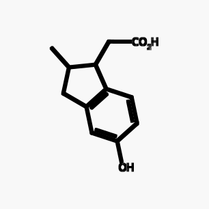 CC1Cc2cc(O)ccc2C1CC(=O)O